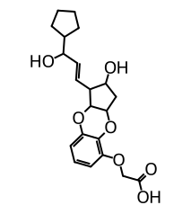 O=C(O)COc1cccc2c1OC1CC(O)C(/C=C/C(O)C3CCCC3)C1O2